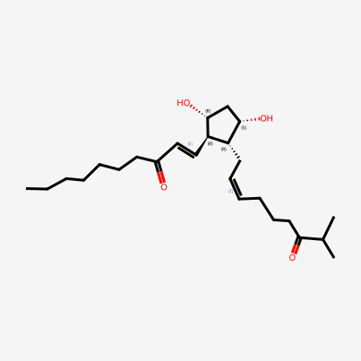 CCCCCCCC(=O)/C=C/[C@@H]1[C@@H](C/C=C\CCCC(=O)C(C)C)[C@@H](O)C[C@H]1O